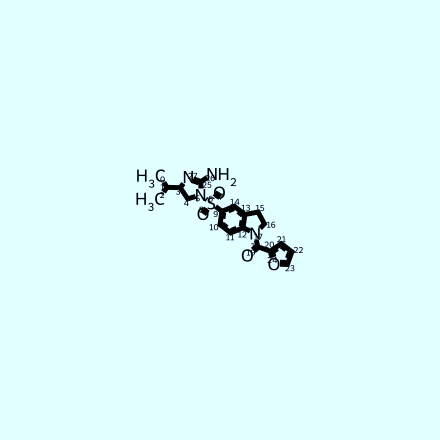 CC(C)C1CN(S(=O)(=O)c2ccc3c(c2)CCN3C(=O)c2ccco2)C(N)=N1